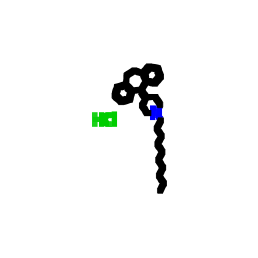 CCCCCCCCCCN1CCC(=C2c3ccccc3CCc3ccccc32)CC1.Cl